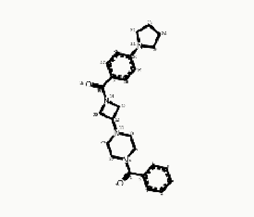 O=C(c1ccccc1)N1CCN(C2CN(C(=O)c3ccc(N4CCCC4)cc3)C2)CC1